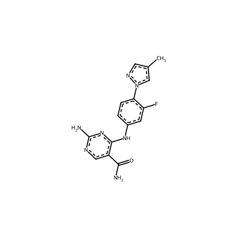 Cc1cnn(-c2ccc(Nc3nc(N)ncc3C(N)=O)cc2F)c1